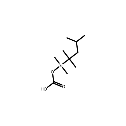 CC(C)CC(C)(C)[Si](C)(C)OC(=O)O